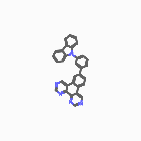 c1cc(-c2ccc3c(c2)c2cncnc2c2ncncc32)cc(-n2c3ccccc3c3ccccc32)c1